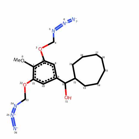 COc1c(OCN=[N+]=[N-])cc(C(O)C2CCCCCCC2)cc1OCN=[N+]=[N-]